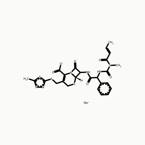 C/C=C/C(=O)N(C)C(=O)NC(C(=O)NC1C(=O)N2C(C(=O)[O-])=C(CSc3nnc(C)s3)CS[C@@H]12)c1ccccc1.[Na+]